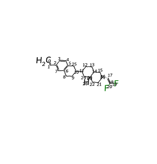 C=Cc1ccc2c(c1)CCC(C1CCC3C[C@H](C=C(F)F)CC[C@@H]3C1)C2